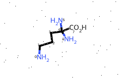 NCCCC(N)(N)C(=O)O